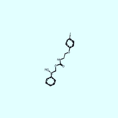 O=C(NCCOc1ccc(I)cc1)OC[C@H](O)c1ccccc1